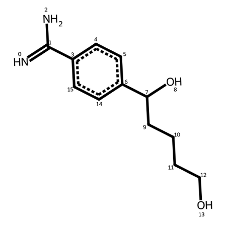 N=C(N)c1ccc(C(O)CCCCO)cc1